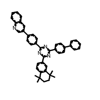 CC1(C)CCC(C)(C)c2cc(-c3nc(-c4ccc(-c5ccccc5)cc4)nc(-c4ccc(-c5cnc6ccccc6c5)cc4)n3)ccc21